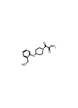 NC(=O)C(=O)N1CCC(Oc2ccccc2CO)CC1